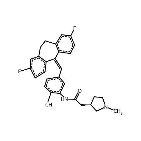 Cc1ccc(C=C2c3ccc(F)cc3CCc3cc(F)ccc32)cc1NC(=O)C[C@H]1CCN(C)C1